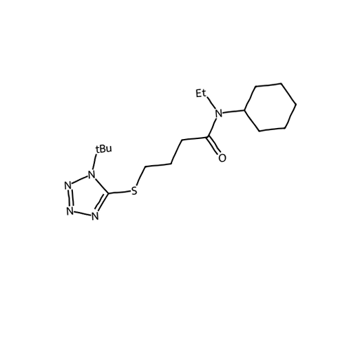 CCN(C(=O)CCCSc1nnnn1C(C)(C)C)C1CCCCC1